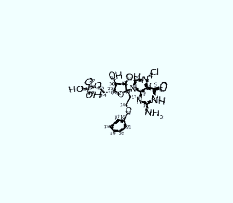 Nc1nc2c(c(=O)[nH]1)[n+](Cl)cn2[C@]1(CCOc2ccccc2)O[C@H](COP(=O)(O)O)[C@@H](O)[C@H]1O